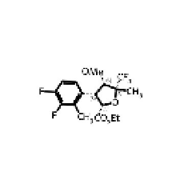 CCOC(=O)[C@H]1O[C@@](C)(C(F)(F)F)[C@@H](OC)[C@H]1c1ccc(F)c(F)c1C